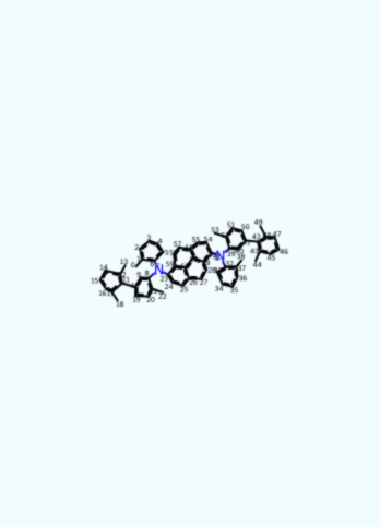 Cc1ccccc1N(c1cc(-c2c(C)cccc2C)ccc1C)c1ccc2ccc3c(N(c4ccccc4C)c4cc(-c5c(C)cccc5C)ccc4C)ccc4ccc1c2c43